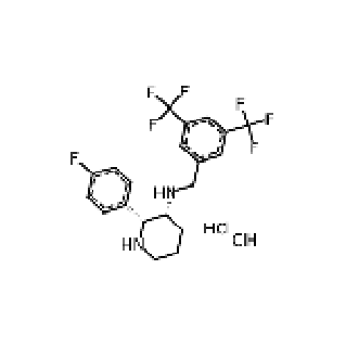 Cl.Cl.Fc1ccc([C@H]2NCCC[C@H]2NCc2cc(C(F)(F)F)cc(C(F)(F)F)c2)cc1